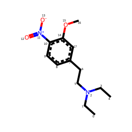 CCN(CC)CCc1ccc([N+](=O)[O-])c(OC)c1